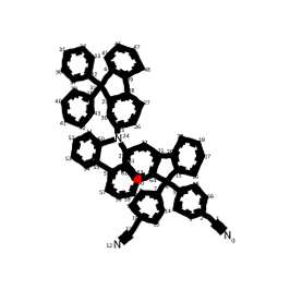 N#Cc1ccc(C2(c3ccc(C#N)cc3)c3ccccc3-c3cc(N(c4ccc5c(c4)C(c4ccccc4)(c4ccccc4)c4ccccc4-5)c4ccccc4-c4ccccc4)ccc32)cc1